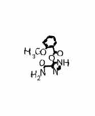 COc1ccccc1C(=O)Oc1[nH]cnc1C(N)=O